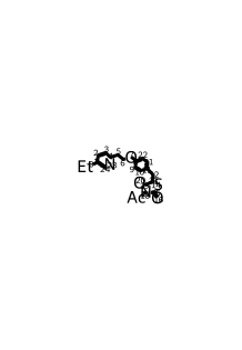 CCc1ccc(CCOc2ccc(CC3SC(=O)N(C(C)=O)C3=O)cc2)nc1